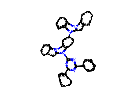 c1ccc(-c2nc(-c3ccccc3)nc(-n3c4ccc(-n5c6ccccc6n6c7ccccc7cc56)cc4n4c5ccccc5cc34)n2)cc1